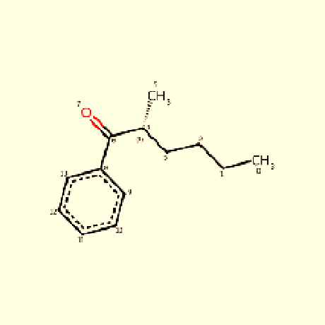 CCCC[C@@H](C)C(=O)c1ccccc1